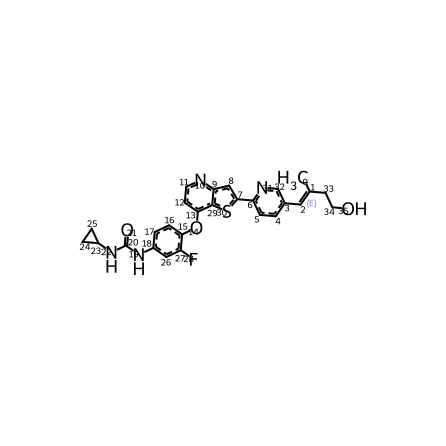 C/C(=C\c1ccc(-c2cc3nccc(Oc4ccc(NC(=O)NC5CC5)cc4F)c3s2)nc1)CCO